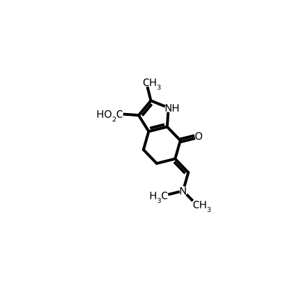 Cc1[nH]c2c(c1C(=O)O)CCC(=CN(C)C)C2=O